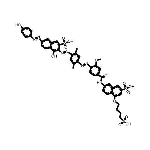 COc1cc(C(=O)Nc2ccc3c(OCCCCS(=O)(=O)O)cc(S(=O)(=O)O)cc3c2)ccc1N=Nc1cc(C)c(N=Nc2c(S(=O)(=O)O)cc3cc(/N=N/c4ccc(O)cc4)ccc3c2O)cc1C